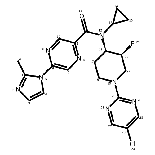 Cc1nccn1-c1cnc(C(=O)N(C2CC2)[C@@H]2CCN(c3ncc(Cl)cn3)C[C@@H]2F)cn1